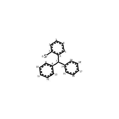 [S]c1ccccc1C(c1ccccc1)c1ccccc1